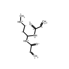 C=CC(=O)NC(CCNC)NC(=O)C=C